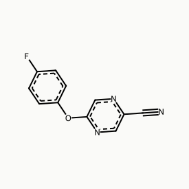 N#Cc1cnc(Oc2ccc(F)cc2)cn1